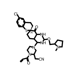 C=CC(=O)N1CCN(C2NC(OCC3CCCN3C)NC3C(=O)[C@]4(CCc5cc(Cl)ccc5S4)CCC32)CC1CC#N